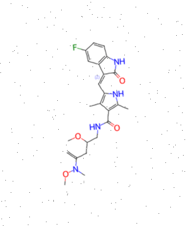 C=C(CC(CNC(=O)c1c(C)[nH]c(/C=C2\C(=O)Nc3ccc(F)cc32)c1C)OC)N(C)OC